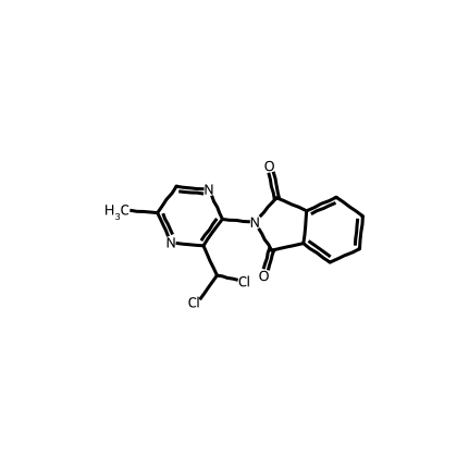 Cc1cnc(N2C(=O)c3ccccc3C2=O)c(C(Cl)Cl)n1